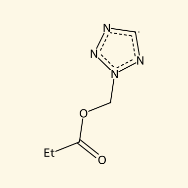 CCC(=O)OCn1n[c]nn1